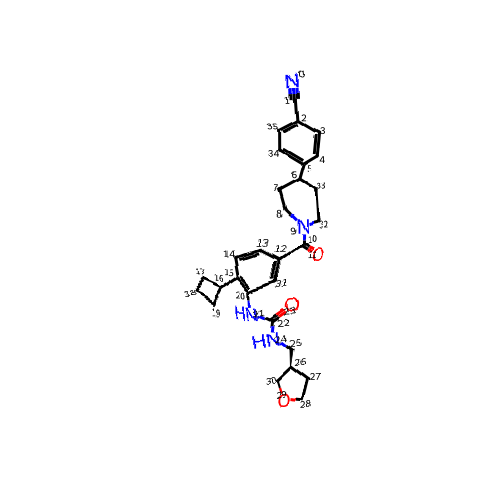 N#Cc1ccc(C2CCN(C(=O)c3ccc(C4CCC4)c(NC(=O)NC[C@H]4CCOC4)c3)CC2)cc1